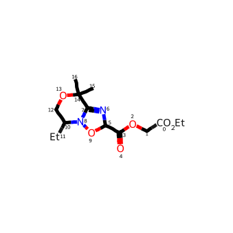 CCOC(=O)COC(=O)C1N=C2N(O1)C(CC)COC2(C)C